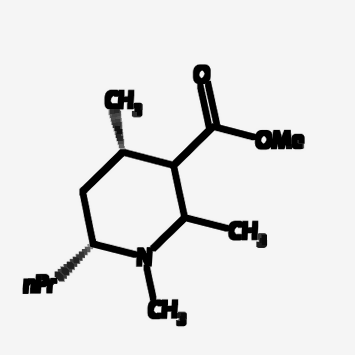 CCC[C@@H]1C[C@H](C)C(C(=O)OC)C(C)N1C